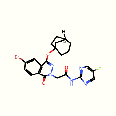 O=C(Cn1nc(OC23CCC[C@@H](CC2)C3)c2cc(Br)ccc2c1=O)Nc1ncc(F)cn1